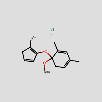 CCCCOC1(OC2=[C]([Ti+2])CC=C2)CC=C(C)C=C1C.[Cl-].[Cl-]